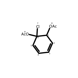 CC(=O)OC1C=CC=CC1(Cl)OC(C)=O